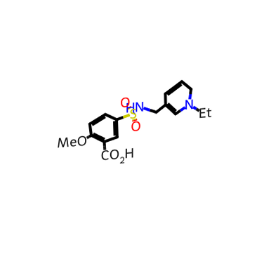 CCN1C=C(CNS(=O)(=O)c2ccc(OC)c(C(=O)O)c2)C=CC1